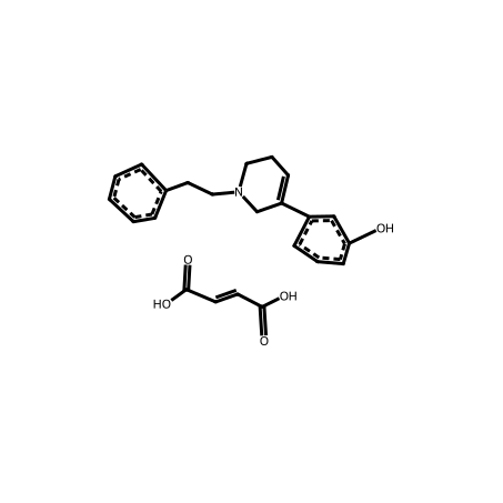 O=C(O)C=CC(=O)O.Oc1cccc(C2=CCCN(CCc3ccccc3)C2)c1